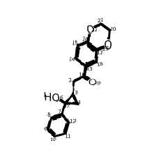 O=C(C[C@H]1CC1(O)c1ccccc1)c1ccc2c(c1)OCCO2